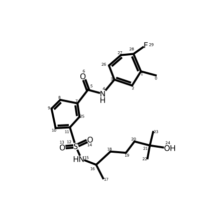 Cc1cc(NC(=O)c2cccc(S(=O)(=O)NC(C)CCCC(C)(C)O)c2)ccc1F